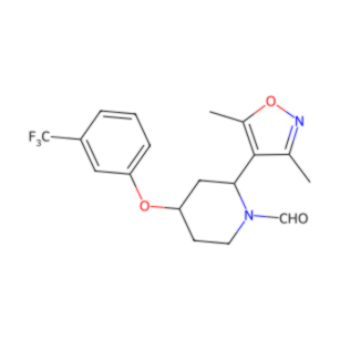 Cc1noc(C)c1C1CC(Oc2cccc(C(F)(F)F)c2)CCN1C=O